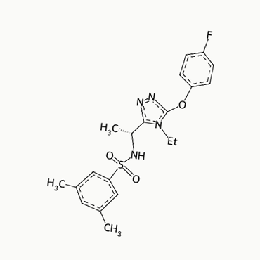 CCn1c(Oc2ccc(F)cc2)nnc1[C@@H](C)NS(=O)(=O)c1cc(C)cc(C)c1